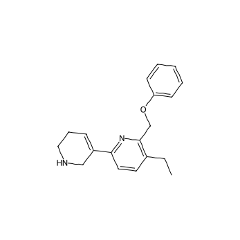 CCc1ccc(C2=CCCNC2)nc1COc1ccccc1